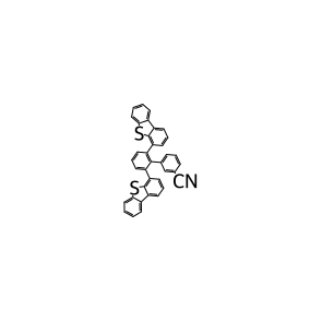 N#Cc1cccc(-c2c(-c3cccc4c3sc3ccccc34)cccc2-c2cccc3c2sc2ccccc23)c1